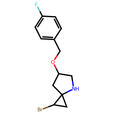 Fc1ccc(COC2CNC3(C2)CC3Br)cc1